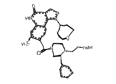 COCCN1CCN(C(=O)c2cc3c(cc2C)[nH]c(=O)c2cnn(C4CCOCC4)c23)C[C@@H]1c1ccccc1